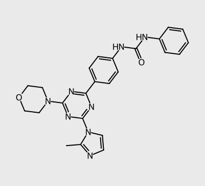 Cc1nccn1-c1nc(-c2ccc(NC(=O)Nc3ccccc3)cc2)nc(N2CCOCC2)n1